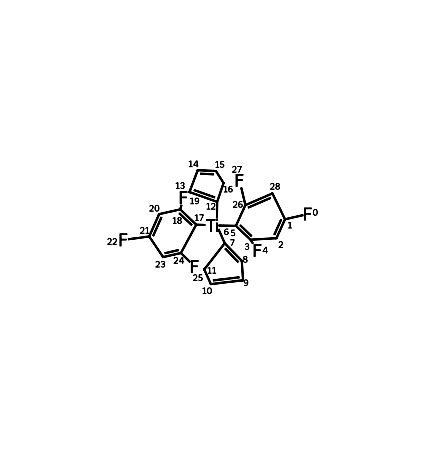 Fc1cc(F)[c]([Ti]([C]2=CC=CC2)([C]2=CC=CC2)[c]2c(F)cc(F)cc2F)c(F)c1